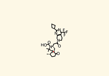 C[C@@H]1CCC(=O)N(C[C@H](CC(=O)N2CCc3c(nc(C4CCC4)nc3C(F)(F)F)C2)N(C(=O)O)C(C)(C)C)C1